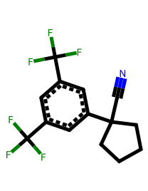 N#CC1(c2cc(C(F)(F)F)cc(C(F)(F)F)c2)CCCC1